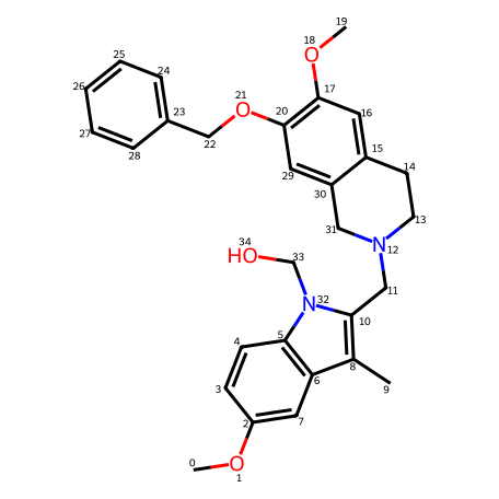 COc1ccc2c(c1)c(C)c(CN1CCc3cc(OC)c(OCc4ccccc4)cc3C1)n2CO